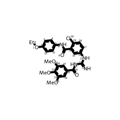 CCOc1ccc(NC(=O)c2cc(NC(=N)NC(=O)c3cc(OC)c(OC)c(OC)c3)ccc2Cl)cc1